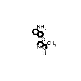 Cc1c[nH]c2nccc(Oc3ccc4c(c3)CCCC4N)c12